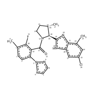 Cc1ccc(-n2nccn2)c(C(=O)N2CC[C@H](C)[C@H]2c2nc3c(C)cc(Cl)cc3[nH]2)c1F